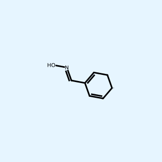 ON=CC1=CC[CH]C=C1